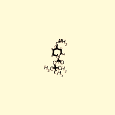 CC(C)(C)OC(=O)N1CCC(SN)CC1